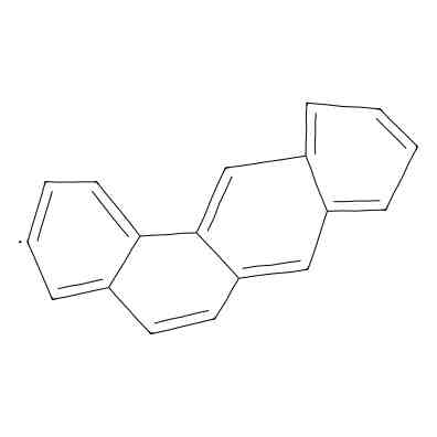 [c]1ccc2c(c1)ccc1cc3ccccc3cc12